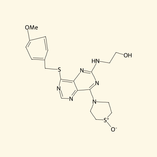 COc1ccc(CSc2ncnc3c(N4CC[S+]([O-])CC4)nc(NCCO)nc23)cc1